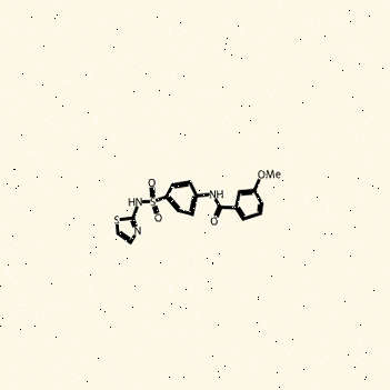 COc1cccc(C(=O)Nc2ccc(S(=O)(=O)Nc3nccs3)cc2)c1